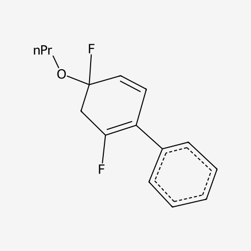 CCCOC1(F)C=CC(c2ccccc2)=C(F)C1